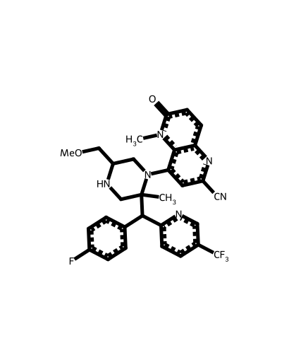 COCC1CN(c2cc(C#N)nc3ccc(=O)n(C)c23)C(C)(C(c2ccc(F)cc2)c2ccc(C(F)(F)F)cn2)CN1